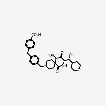 CCCCN1C(=O)[C@@H]([C@H](O)C2CCOCC2)NC(=O)C12CCN(Cc1ccc(Cc3ccc(C(=O)O)cc3)cc1)CC2